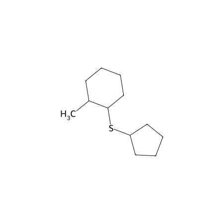 CC1CCCCC1SC1CCCC1